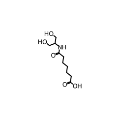 O=C(O)CCCCCC(=O)NC(CO)CO